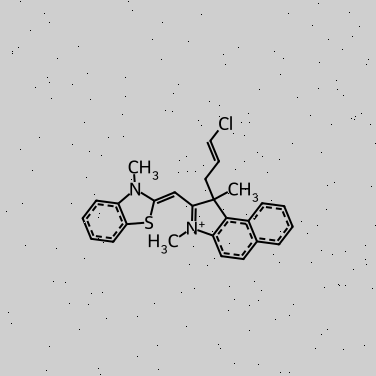 CN1/C(=C/C2=[N+](C)c3ccc4ccccc4c3C2(C)C/C=C/Cl)Sc2ccccc21